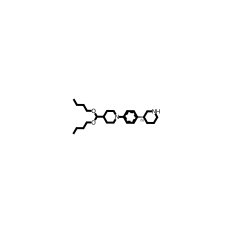 CCCCOC(OCCCC)C1CCN(c2ccc([C@@H]3CCCNC3)cc2)CC1